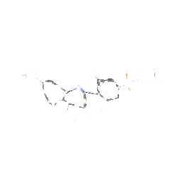 Cc1c(F)c(-c2c(F)cc(S(=O)(=O)N3CC[C@H](F)C3)cc2F)nc2cc(C(=O)O)ccc12